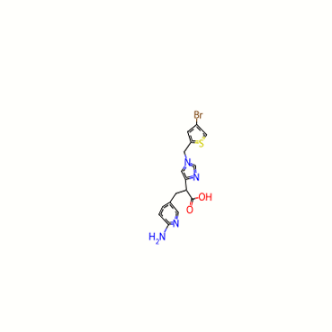 Nc1ccc(CC(C(=O)O)c2cn(Cc3cc(Br)cs3)cn2)cn1